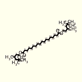 CC(CCOC(=O)CCCCCCCCCCCCCCCCC(=O)OCCC(C)CC(C)(C)C)CC(C)(C)C